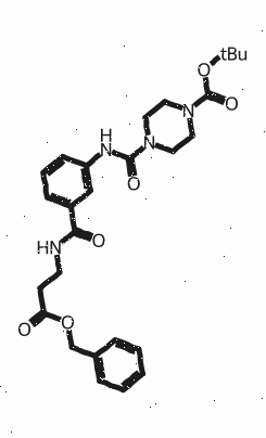 CC(C)(C)OC(=O)N1CCN(C(=O)Nc2cccc(C(=O)NCCC(=O)OCc3ccccc3)c2)CC1